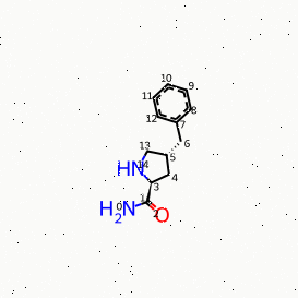 NC(=O)[C@@H]1C[C@@H](Cc2ccccc2)CN1